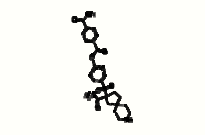 NC(=O)C1(S(=O)(=O)c2ccc(OC(=O)c3ccc(C(=O)O)cc3)cc2)CCC2(CCNCC2)C1